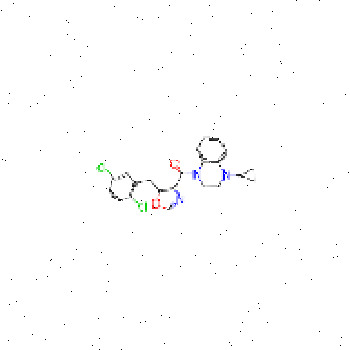 O=C(c1ncoc1Cc1cc(Cl)ccc1Cl)N1CCN(C2CC2)c2ccccc21